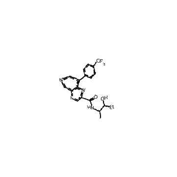 CCC(O)C(C)NC(=O)c1cnc2cncc(-c3ccc(C(F)(F)F)cc3)c2n1